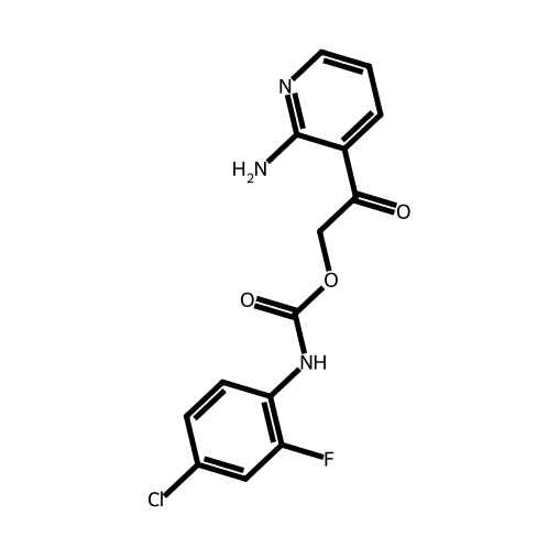 Nc1ncccc1C(=O)COC(=O)Nc1ccc(Cl)cc1F